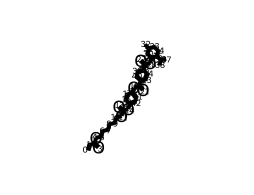 C=CC(=O)OCCCCCCOC(=O)Oc1ccc(OC(=O)c2ccc(C(=O)OC3CC(C)CCC3C(C)C)cc2)cc1